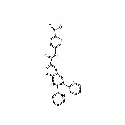 COC(=O)c1ccc(NC(=O)c2ccc3nc(-c4ccccn4)c(-c4ccccn4)nc3c2)cc1